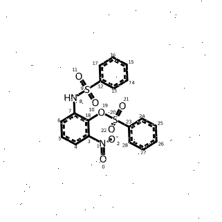 O=[N+]([O-])c1cccc(NS(=O)(=O)c2ccccc2)c1OS(=O)(=O)c1ccccc1